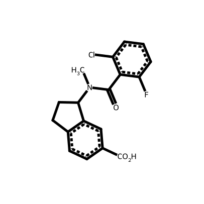 CN(C(=O)c1c(F)cccc1Cl)C1CCc2ccc(C(=O)O)cc21